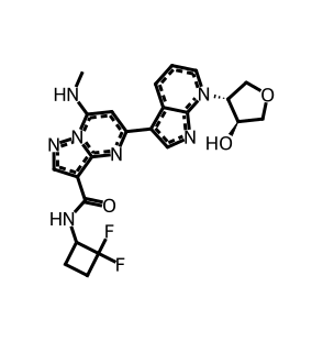 CNc1cc(-c2cnc3n([C@@H]4COC[C@H]4O)cccc2-3)nc2c(C(=O)NC3CCC3(F)F)cnn12